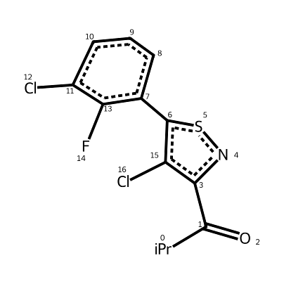 CC(C)C(=O)c1nsc(-c2cccc(Cl)c2F)c1Cl